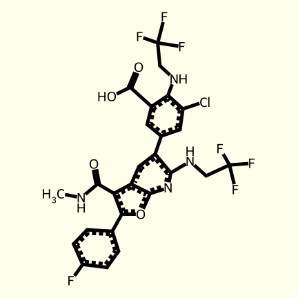 CNC(=O)c1c(-c2ccc(F)cc2)oc2nc(NCC(F)(F)F)c(-c3cc(Cl)c(NCC(F)(F)F)c(C(=O)O)c3)cc12